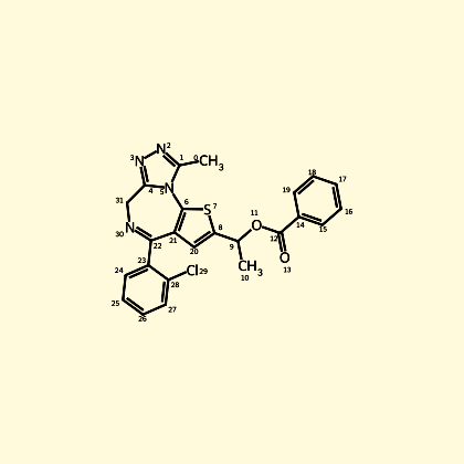 Cc1nnc2n1-c1sc(C(C)OC(=O)c3ccccc3)cc1C(c1ccccc1Cl)=NC2